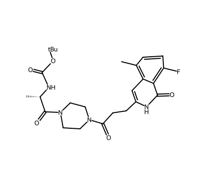 Cc1ccc(F)c2c(=O)[nH]c(CCC(=O)N3CCN(C(=O)[C@H](C)NC(=O)OC(C)(C)C)CC3)cc12